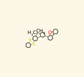 CC1(C)c2ccc(-c3cccc4c3oc3ccccc34)cc2-c2cc3c(cc21)Sc1ccccc1S3